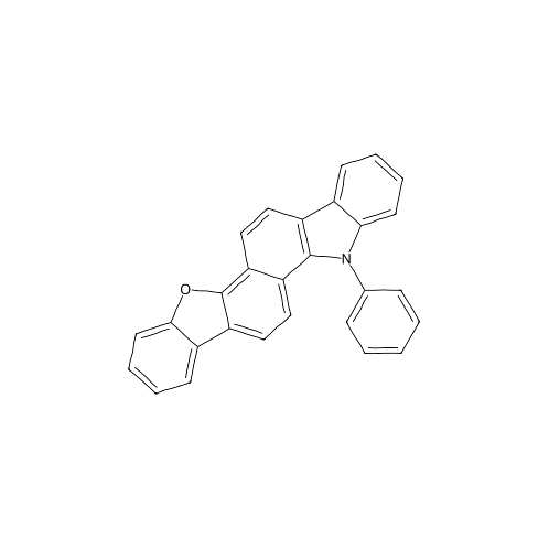 c1ccc(-n2c3ccccc3c3ccc4c(ccc5c6ccccc6oc54)c32)cc1